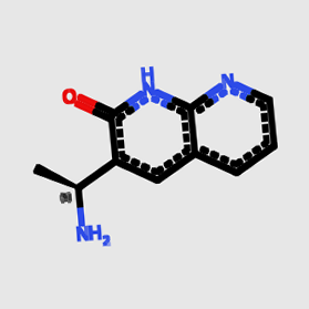 C[C@H](N)c1cc2cccnc2[nH]c1=O